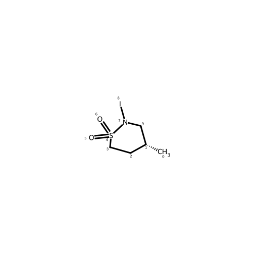 C[C@@H]1CCS(=O)(=O)N(I)C1